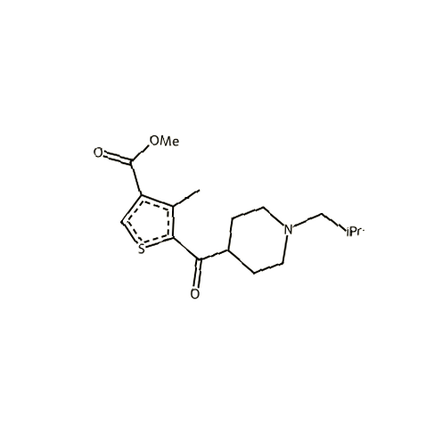 COC(=O)c1csc(C(=O)C2CCN(C[C](C)C)CC2)c1C